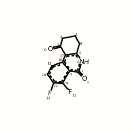 O=C1CCCc2[nH]c(=O)c3c(F)c(F)ccc3c21